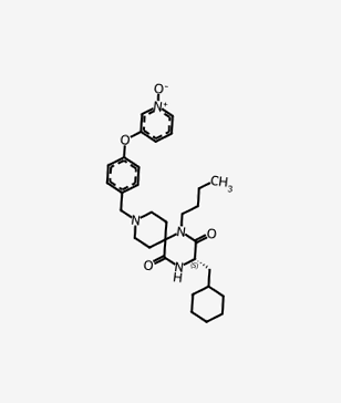 CCCCN1C(=O)[C@H](CC2CCCCC2)NC(=O)C12CCN(Cc1ccc(Oc3ccc[n+]([O-])c3)cc1)CC2